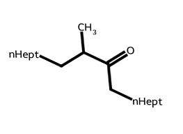 CCCCCCCCC(=O)C(C)CCCCCCCC